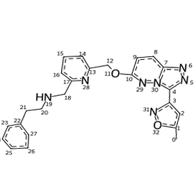 Cc1cc(-c2nnc3ccc(OCc4cccc(CNCCc5ccccc5)n4)nn23)no1